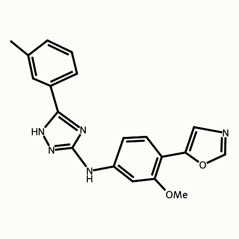 COc1cc(Nc2n[nH]c(-c3cccc(C)c3)n2)ccc1-c1cnco1